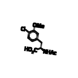 COc1cc(C[C@@H](NC(C)=O)C(=O)O)ccc1Cl